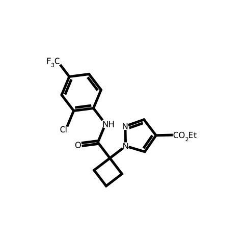 CCOC(=O)c1cnn(C2(C(=O)Nc3ccc(C(F)(F)F)cc3Cl)CCC2)c1